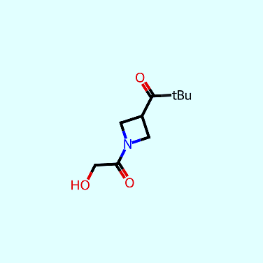 CC(C)(C)C(=O)C1CN(C(=O)CO)C1